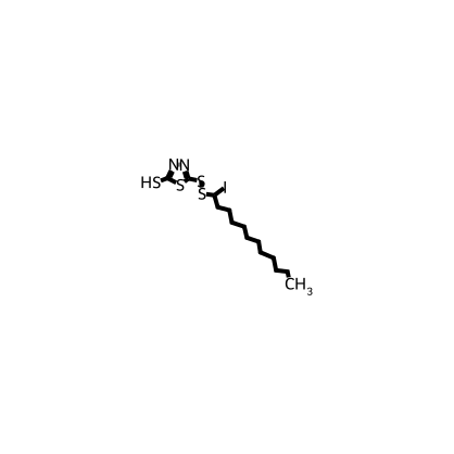 CCCCCCCCCCCC(I)SSc1nnc(S)s1